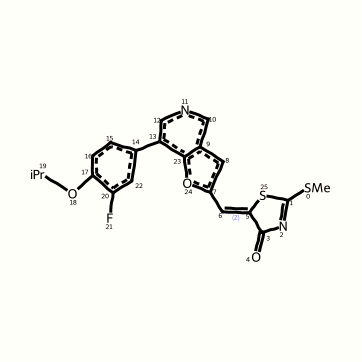 CSC1=NC(=O)/C(=C/c2cc3cncc(-c4ccc(OC(C)C)c(F)c4)c3o2)S1